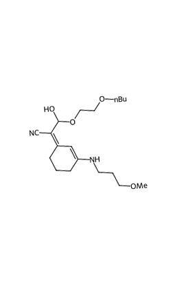 CCCCOCCOC(O)/C(C#N)=C1\C=C(NCCCOC)CCC1